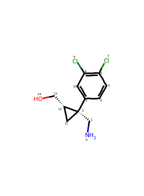 NC[C@]1(c2ccc(Cl)c(Cl)c2)C[C@@H]1CO